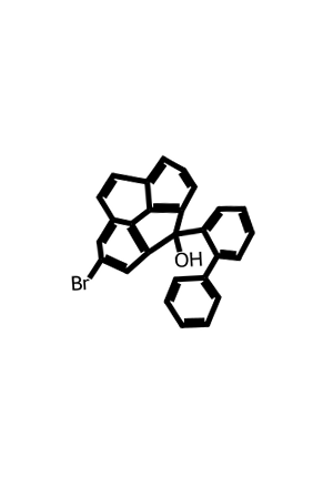 OC1(c2ccccc2-c2ccccc2)c2cccc3ccc4cc(Br)cc1c4c23